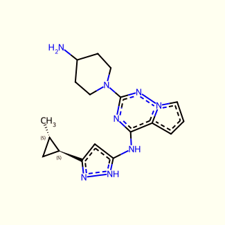 C[C@H]1C[C@@H]1c1cc(Nc2nc(N3CCC(N)CC3)nn3cccc23)[nH]n1